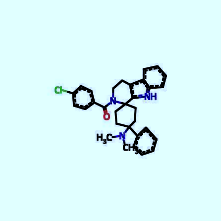 CN(C)C1(c2ccccc2)CCC2(CC1)c1[nH]c3ccccc3c1CCN2C(=O)c1ccc(Cl)cc1